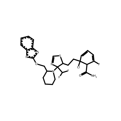 NC(=O)C1C(F)=CC=CC1(Cl)CCC1SC=NC1(C(F)F)N1CCCCC1COc1nc2ccccc2s1